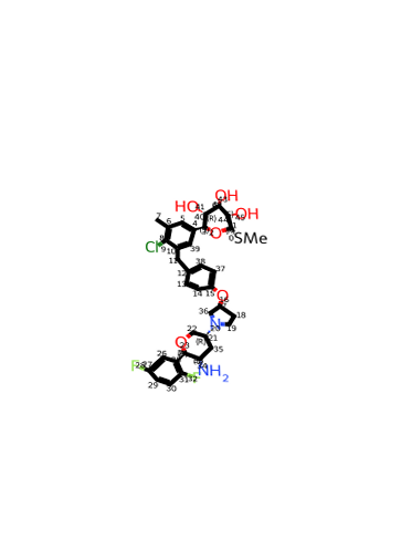 CS[C@H]1O[C@@H](c2cc(C)c(Cl)c(Cc3ccc(OC4CCN([C@H]5CO[C@H](c6cc(F)ccc6F)[C@@H](N)C5)C4)cc3)c2)[C@H](O)[C@@H](O)[C@@H]1O